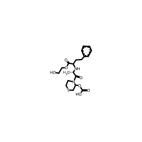 C[C@H](NC(CCc1ccccc1)C(=O)OCCO)C(=O)N1CCSCC1OC(=O)O